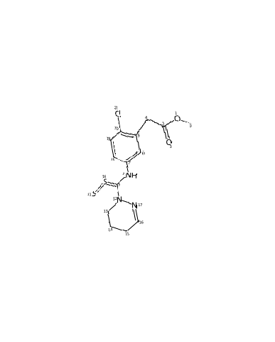 COC(=O)Cc1cc(NC(=S=S)N2CCCC=N2)ccc1Cl